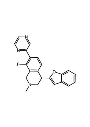 CN1Cc2c(ccc(-c3cnccn3)c2F)C(c2cc3ccccc3o2)C1